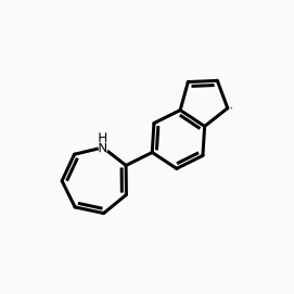 [CH]1C=Cc2cc(C3=CC=CC=CN3)ccc21